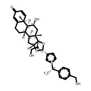 C[C@]12C=CC(=O)C=C1CC[C@@H]1[C@@H]2[C@@H](O)C[C@@]2(C)[C@H]1C[C@H]1O[C@@H](c3ccn([C@H](c4ccc(CO)cc4)C(F)(F)F)c3)O[C@]12C(=O)CO